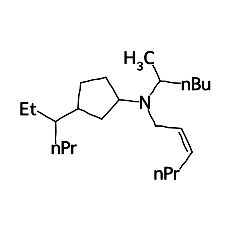 CCC/C=C\CN(C(C)CCCC)C1CCC(C(CC)CCC)C1